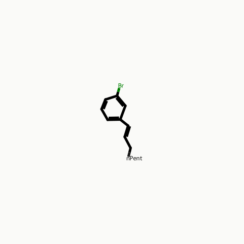 CCCCCCC=Cc1cccc(Br)c1